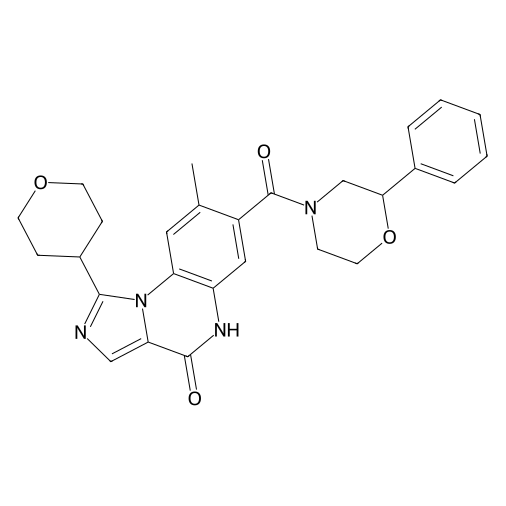 Cc1cc2c(cc1C(=O)N1CCOC(c3ccccc3)C1)[nH]c(=O)c1cnc(C3CCOCC3)n12